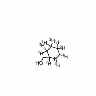 [2H]C1N([2H])C([2H])(CO)C([2H])([2H])C([2H])([2H])C1([2H])[2H]